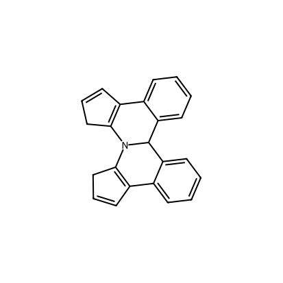 C1=CC2=C(C1)N1C3=C(C=CC3)c3ccccc3C1c1ccccc12